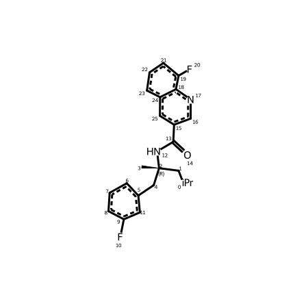 CC(C)C[C@](C)(Cc1cccc(F)c1)NC(=O)c1cnc2c(F)cccc2c1